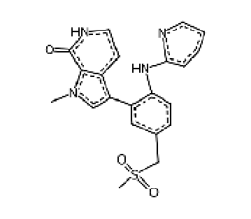 Cn1cc(-c2cc(CS(C)(=O)=O)ccc2Nc2ccccn2)c2cc[nH]c(=O)c21